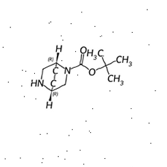 CC(C)(C)OC(=O)N1C[C@H]2CC[C@@H]1CN2